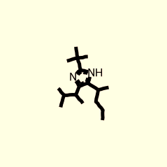 CCCC(C)c1[nH]c(C(C)(C)C)nc1C(C)C(C)C